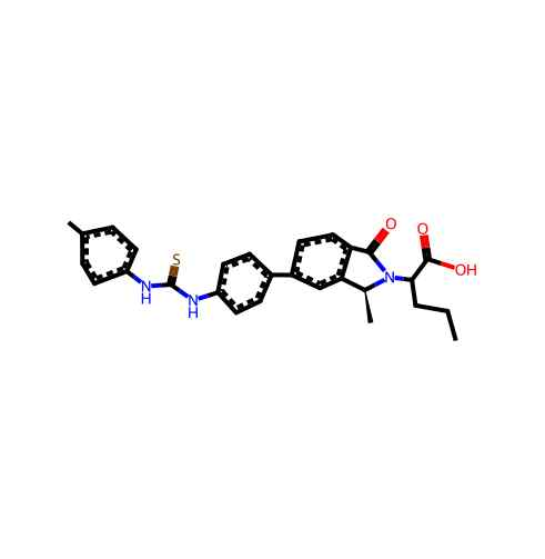 CCCC(C(=O)O)N1C(=O)c2ccc(-c3ccc(NC(=S)Nc4ccc(C)cc4)cc3)cc2[C@@H]1C